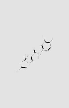 O=C(Nc1ccc(F)c(Cl)c1)c1cn2cc(Br)sc2n1